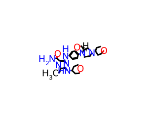 CCc1nc(C(N)=O)c(Nc2ccc3c(c2)OC[C@H]2CN(C4CCOCC4)CCN32)nc1NC1CCOCC1